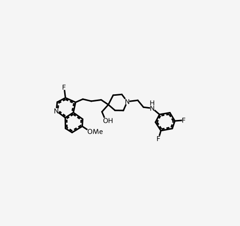 COc1ccc2ncc(F)c(CCCC3(CO)CCN(CCNc4cc(F)cc(F)c4)CC3)c2c1